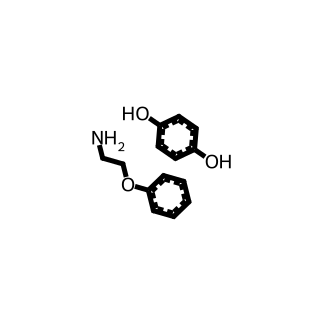 NCCOc1ccccc1.Oc1ccc(O)cc1